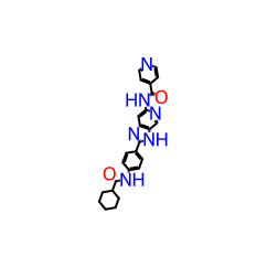 O=C(Nc1cc2nc(-c3ccc(NC(=O)C4CCCCC4)cc3)[nH]c2cn1)c1ccncc1